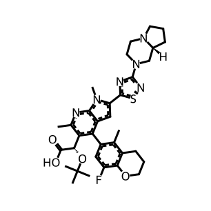 Cc1nc2c(cc(-c3nc(N4CCN5CCC[C@@H]5C4)ns3)n2C)c(-c2cc(F)c3c(c2C)CCCO3)c1[C@H](OC(C)(C)C)C(=O)O